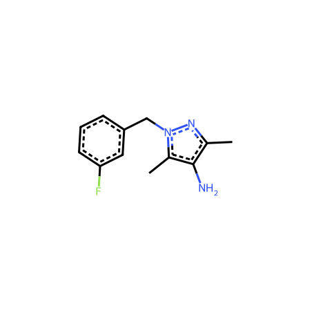 Cc1nn(Cc2cccc(F)c2)c(C)c1N